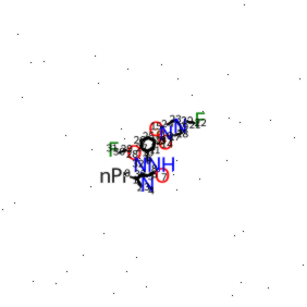 CCCc1cn(C)c2c(=O)[nH]c(-c3cc(S(=O)(=O)N4CCN(CCF)CC4)ccc3OCCF)nc12